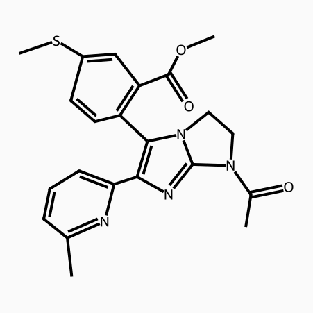 COC(=O)c1cc(SC)ccc1-c1c(-c2cccc(C)n2)nc2n1CCN2C(C)=O